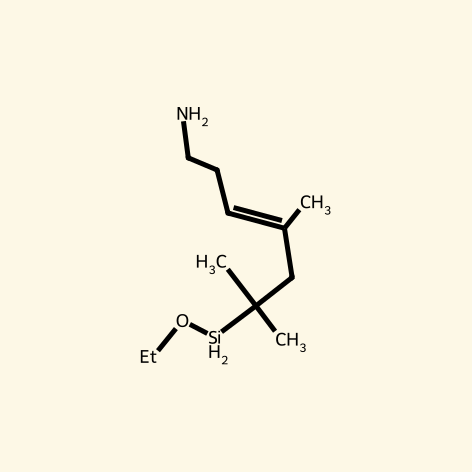 CCO[SiH2]C(C)(C)CC(C)=CCCN